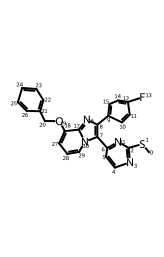 CSc1nccc(-c2c(-c3ccc(F)cc3)nc3c(OCc4ccccc4)cccn23)n1